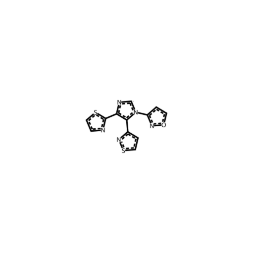 [c]1nc(-c2nccs2)c(-c2ccsn2)n1-c1ccon1